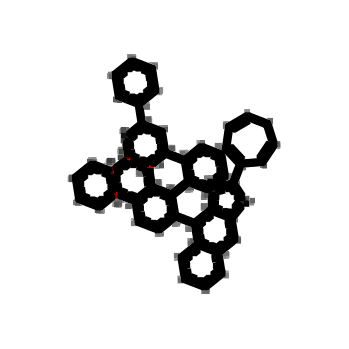 C1=CCC=CC(c2nc3cc4ccccc4c(-c4ccc5ccccc5c4-c4ccccc4-c4cc(-c5ccccc5)nc(-c5ccccc5)n4)c3o2)=C1